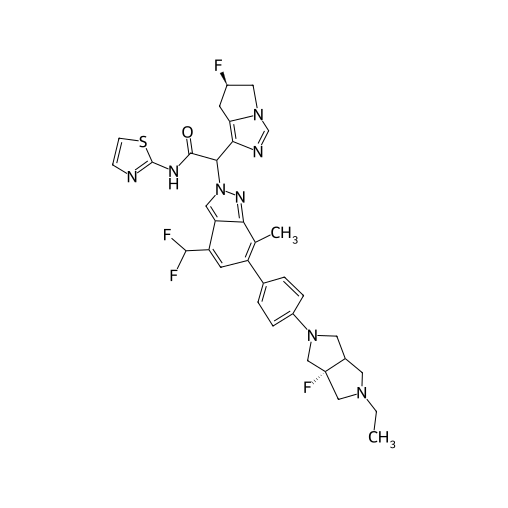 CCN1CC2CN(c3ccc(-c4cc(C(F)F)c5cn(C(C(=O)Nc6nccs6)c6ncn7c6C[C@@H](F)C7)nc5c4C)cc3)C[C@]2(F)C1